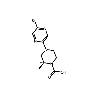 C[C@H]1CN(c2cnc(Br)cn2)CCN1C(=O)O